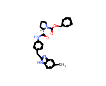 Cc1ccc2[nH]c(Cc3ccc(NC(=O)[C@@H]4CCCN4C(=O)OCc4ccccc4)cc3)nc2c1